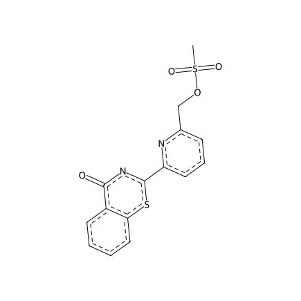 CS(=O)(=O)OCc1cccc(-c2nc(=O)c3ccccc3s2)n1